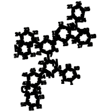 c1ccc(-c2nc(-c3cc(-c4ccc5c(c4)c4ccccc4n5-c4ccccc4)cc(-c4cccc5ncccc45)c3)cc(-c3ccc4oc5ccccc5c4c3)n2)cc1